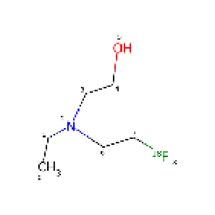 CCN(CCO)CC[18F]